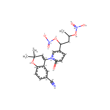 CC(CC(O[N+](=O)[O-])c1ccc(=O)n(C2=CC(C)(C)Oc3ccc(C#N)cc32)c1)O[N+](=O)[O-]